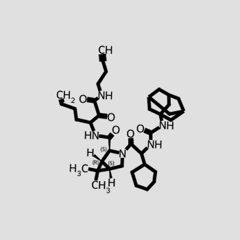 C#CCCNC(=O)C(=O)C(CCC=C)NC(=O)[C@@H]1[C@@H]2[C@H](CN1C(=O)C(NC(=O)NC13CC4CC(CC(C4)C1)C3)C1CCCCC1)C2(C)C